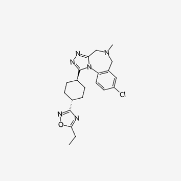 CCc1nc([C@H]2CC[C@H](c3nnc4n3-c3ccc(Cl)cc3CN(C)C4)CC2)no1